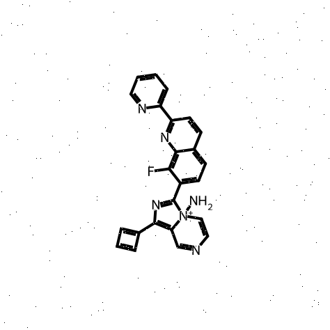 N[N+]12C=CN=CC1=C(C1=CC=C1)N=C2c1ccc2ccc(-c3ccccn3)nc2c1F